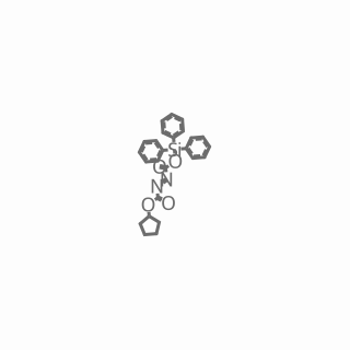 O=C(N=NC(=O)O[Si](c1ccccc1)(c1ccccc1)c1ccccc1)OC1CCCC1